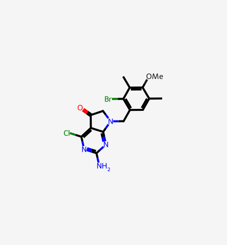 COc1c(C)cc(CN2CC(=O)c3c(Cl)nc(N)nc32)c(Br)c1C